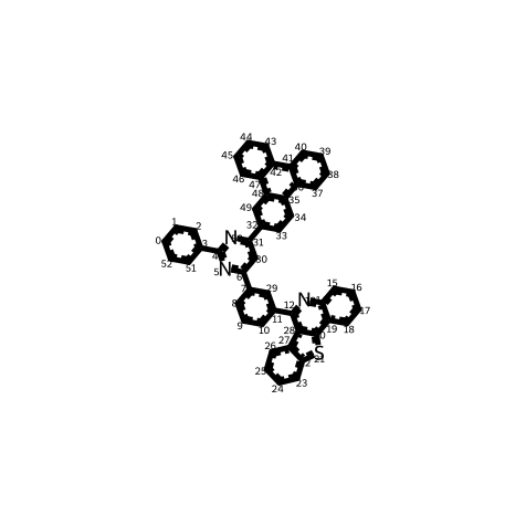 c1ccc(-c2nc(-c3cccc(-c4nc5ccccc5c5sc6ccccc6c45)c3)cc(-c3ccc4c5ccccc5c5ccccc5c4c3)n2)cc1